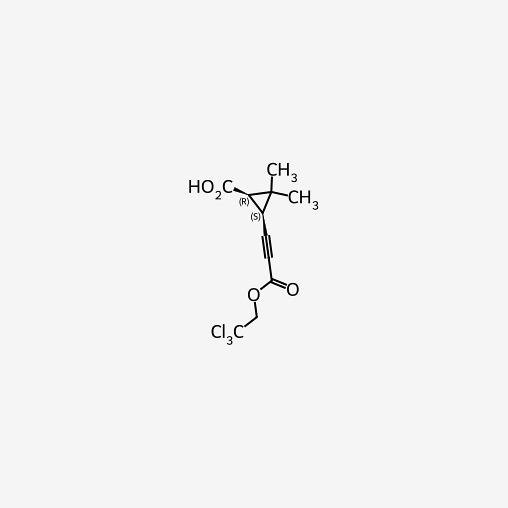 CC1(C)[C@H](C(=O)O)[C@@H]1C#CC(=O)OCC(Cl)(Cl)Cl